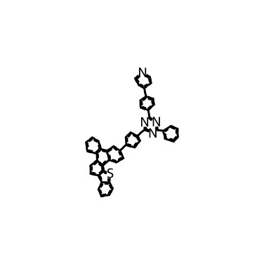 c1ccc(-c2nc(-c3ccc(-c4ccncc4)cc3)nc(-c3ccc(-c4ccc5c(c4)c4ccccc4c4ccc6c7ccccc7sc6c45)cc3)n2)cc1